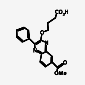 COC(=O)c1ccc2nc(-c3ccccc3)c(OCCCC(=O)O)nc2c1